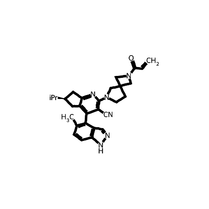 C=CC(=O)N1CC2(CCN(c3nc4c(c(-c5c(C)ccc6[nH]ncc56)c3C#N)C[C@@H](C(C)C)C4)C2)C1